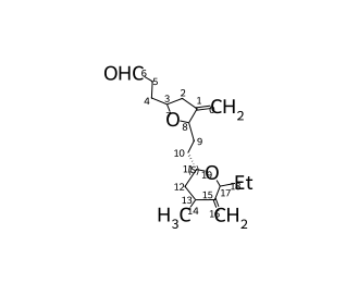 C=C1CC(CCC=O)OC1CC[C@H]1CC(C)C(=C)C(CC)O1